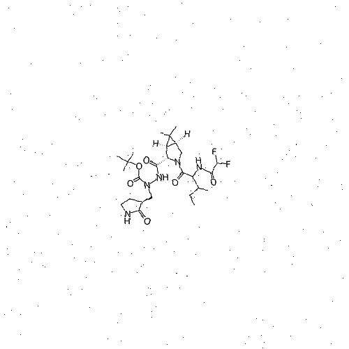 CCC(C)C(NC(=O)C(F)F)C(=O)N1C[C@H]2[C@@H]([C@H]1C(=O)NN(C[C@@H]1CCNC1=O)C(=O)OC(C)(C)C)C2(C)C